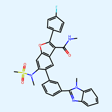 CNC(=O)c1c(-c2ccc(F)cc2)oc2cc(N(C)S(C)(=O)=O)c(-c3cccc(-c4nc5ccccc5n4C)c3)cc12